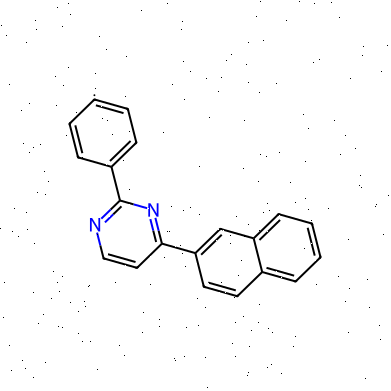 [c]1ccc(-c2nccc(-c3ccc4ccccc4c3)n2)cc1